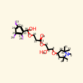 CN1C(C)(C)CC(OCC(O)COC(=O)CCOC(O)c2cc(I)cc(I)c2I)CC1(C)C